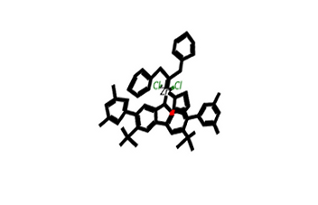 Cc1cc(C)cc(-c2cc3c(cc2C(C)(C)C)-c2cc(C(C)(C)C)c(-c4cc(C)cc(C)c4)cc2[CH]3[Zr]([Cl])([Cl])(=[C](Cc2ccccc2)Cc2ccccc2)[CH]2C=CC=C2)c1